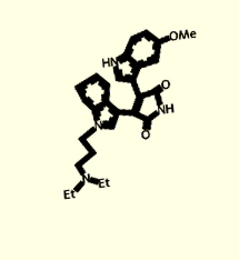 CCN(CC)CCCn1cc(C2=C(c3c[nH]c4ccc(OC)cc34)C(=O)NC2=O)c2ccccc21